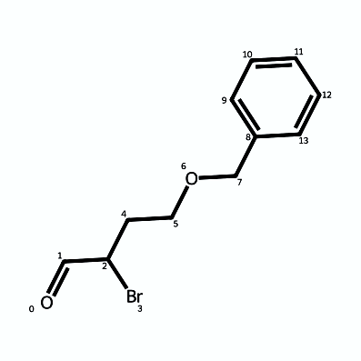 O=CC(Br)CCOCc1ccccc1